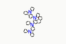 c1ccc(N(c2cc(N(c3ccccc3)c3ccc4c5ccccc5n(-c5ccccc5)c4c3)c3c(ccc4ccccc43)c2)c2ccc3c4ccccc4n(-c4ccccc4)c3c2)cc1